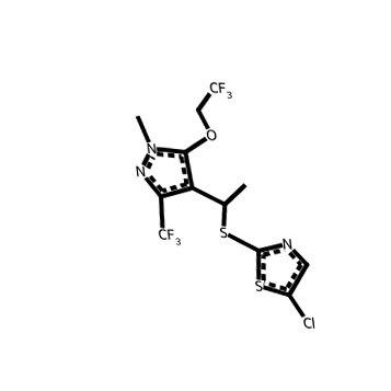 CC(Sc1ncc(Cl)s1)c1c(C(F)(F)F)nn(C)c1OCC(F)(F)F